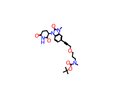 CN(CCCOCC#Cc1ccc2c(c1)n(C)c(=O)n2C1CCC(=O)NC1=O)C(=O)OC(C)(C)C